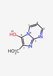 O=C(O)c1nc2ncccn2c1O